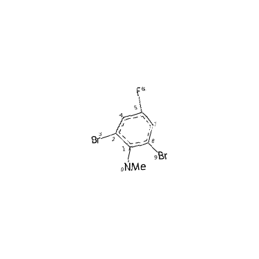 CNc1c(Br)cc(F)cc1Br